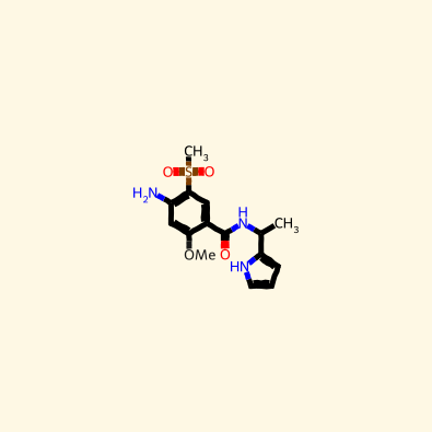 COc1cc(N)c(S(C)(=O)=O)cc1C(=O)NC(C)c1ccc[nH]1